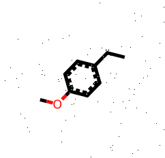 C[C]c1ccc(OC)cc1